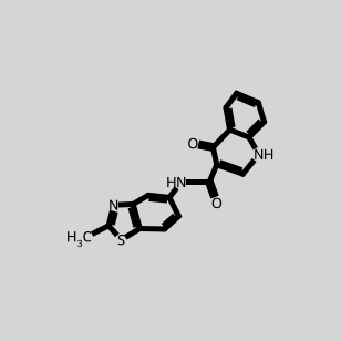 Cc1nc2cc(NC(=O)c3c[nH]c4ccccc4c3=O)ccc2s1